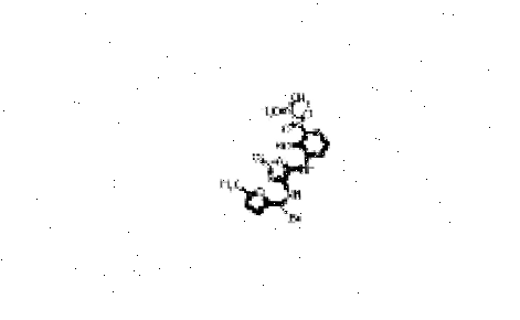 Cc1ccc([C@H](Nc2n[s+]([O-])nc2Nc2cccc(S(=O)(=O)N(C)C)c2O)C(C)(C)C)o1